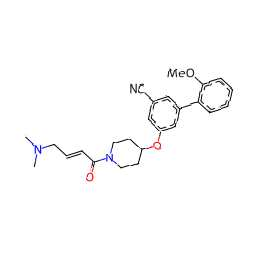 COc1ccccc1-c1cc(C#N)cc(OC2CCN(C(=O)/C=C/CN(C)C)CC2)c1